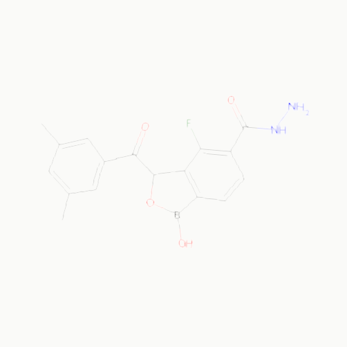 Cc1cc(C)cc(C(=O)C2OB(O)c3ccc(C(=O)NN)c(F)c32)c1